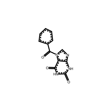 O=C(c1ccccc1)n1cnc2[nH]c(=O)[nH]c(=O)c21